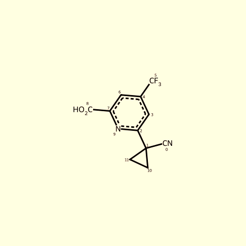 N#CC1(c2cc(C(F)(F)F)cc(C(=O)O)n2)CC1